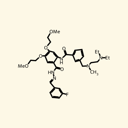 CCN(CC)CCN(C)Cc1cccc(C(=O)Nc2cc(OCCOC)c(OCCOC)cc2C(=O)NN=Cc2cccc(F)c2)c1